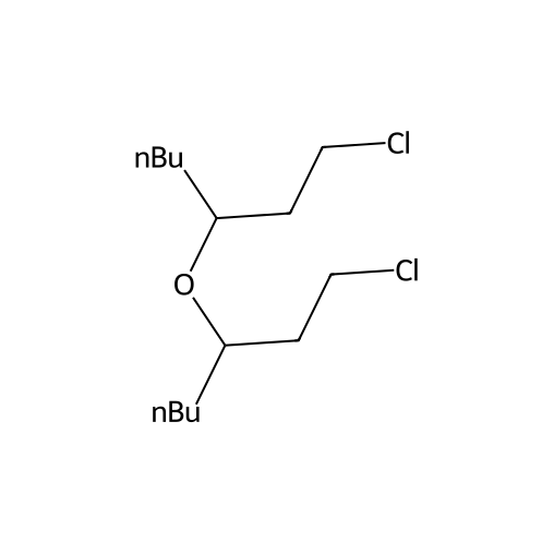 CCCCC(CCCl)OC(CCCl)CCCC